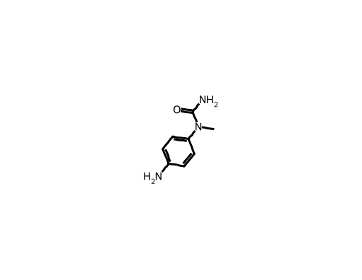 CN(C(N)=O)c1ccc(N)cc1